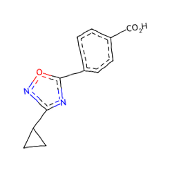 O=C(O)c1ccc(-c2nc(C3CC3)no2)cc1